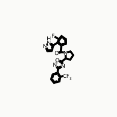 O=C(c1cccc(F)c1-c1ccn[nH]1)N1CCCC1c1nc(-c2ccccc2C(F)(F)F)no1